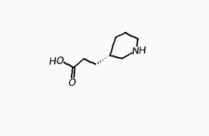 O=C(O)CC[C@@H]1CCCNC1